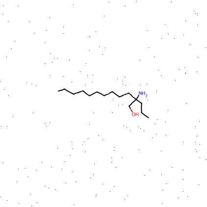 CCCCCCCCCCC(N)(CO)CCC